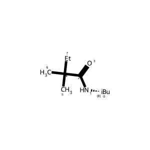 CC[C@@H](C)NC(=O)C(C)(C)CC